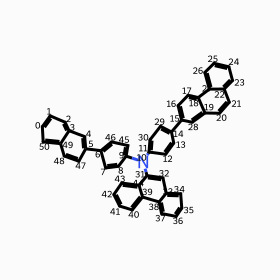 c1ccc2cc(-c3ccc(N(c4ccc(-c5ccc6c(ccc7ccccc76)c5)cc4)c4cc5ccccc5c5ccccc45)cc3)ccc2c1